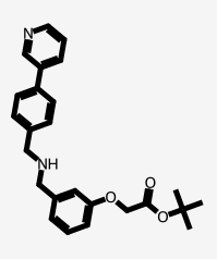 CC(C)(C)OC(=O)COc1cccc(CNCc2ccc(-c3cccnc3)cc2)c1